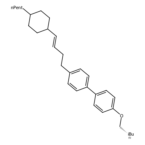 CCCCCC1CCC(C=CCCc2ccc(-c3ccc(OC[C@@H](C)CC)cc3)cc2)CC1